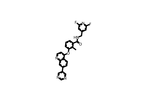 Cc1c(Oc2ccnc3cc(-c4cncnc4)ccc23)cccc1C(=O)NCc1cc(F)nc(F)c1